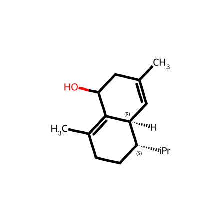 CC1=C[C@@H]2C(=C(C)CC[C@H]2C(C)C)C(O)C1